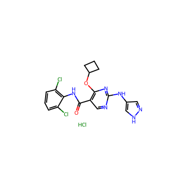 Cl.O=C(Nc1c(Cl)cccc1Cl)c1cnc(Nc2cn[nH]c2)nc1OC1CCC1